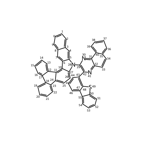 c1ccc2cc3c(cc2c1)c1c2c4ccccc4c4ccccc4c2ccc1n3-c1nc2c(ccc3ccccc32)nc1-c1cccc2c1sc1ccccc12